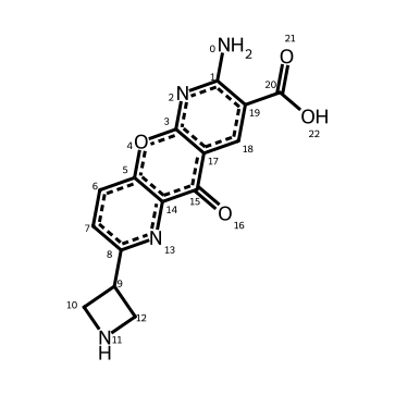 Nc1nc2oc3ccc(C4CNC4)nc3c(=O)c2cc1C(=O)O